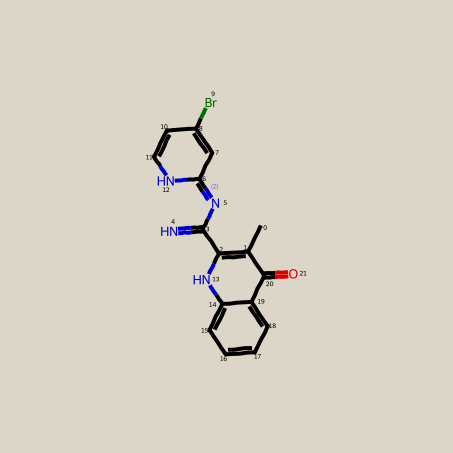 Cc1c(C(=N)/N=c2/cc(Br)cc[nH]2)[nH]c2ccccc2c1=O